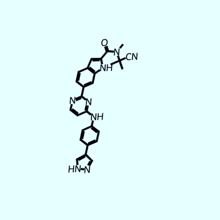 CN(C(=O)c1cc2ccc(-c3nccc(Nc4ccc(-c5cn[nH]c5)cc4)n3)cc2[nH]1)C(C)(C)C#N